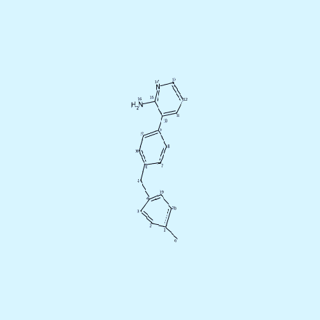 Cc1ccc(Cc2ccc(-c3cccnc3N)cc2)cc1